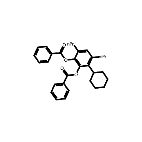 CCCc1cc(CCC)c(C2CCCCC2)c(OC(=O)c2ccccc2)c1OC(=O)c1ccccc1